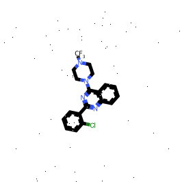 FC(F)(F)N1CCN(c2nc(-c3ccccc3Cl)nc3ccccc23)CC1